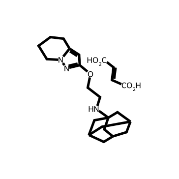 O=C(O)C=CC(=O)O.c1c(OCCNC23CC4CC(CC(C4)C2)C3)nn2c1CCCC2